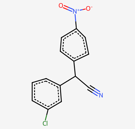 N#CC(c1ccc([N+](=O)[O-])cc1)c1cccc(Cl)c1